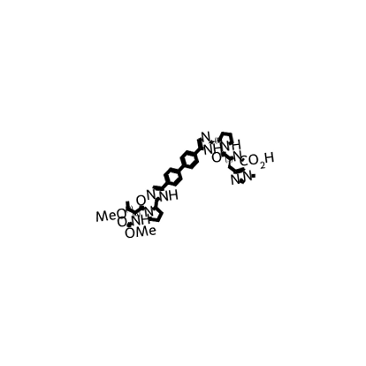 COC(=O)N[C@H](C(=O)N1CCCC1c1ncc(-c2ccc(-c3ccc(-c4cnc([C@@H]5CCCN5C(=O)[C@H](Cc5cn(C)cn5)NC(=O)O)[nH]4)cc3)cc2)[nH]1)[C@@H](C)OC